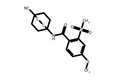 CS(=O)(=O)c1cc(SC(F)(F)F)ccc1C(=O)NC12CCC(C#N)(CC1)CC2